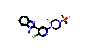 C=S(C)(=O)N1CCN(c2cc(-c3nc4ccccc4n3C)c(Cl)cn2)[C@H](C)C1